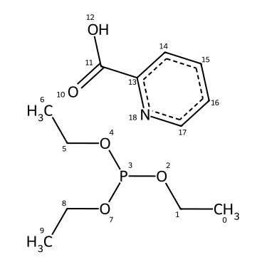 CCOP(OCC)OCC.O=C(O)c1ccccn1